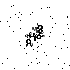 Nc1c(F)cccc1NC(=O)c1cc(NC(=O)[C@H]2[C@H](c3ccc(F)c(Cl)c3)C2(Cl)Cl)ccc1Cl